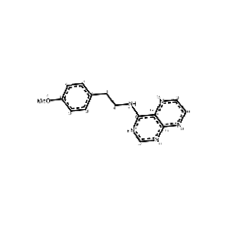 COc1ccc(CCNc2ncnc3nccnc23)cc1